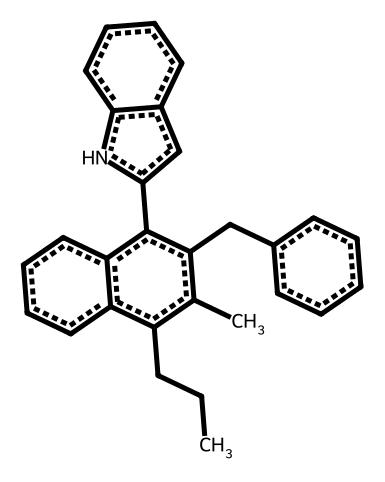 CCCc1c(C)c(Cc2ccccc2)c(-c2cc3ccccc3[nH]2)c2ccccc12